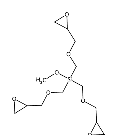 CO[Si](COCC1CO1)(COCC1CO1)COCC1CO1